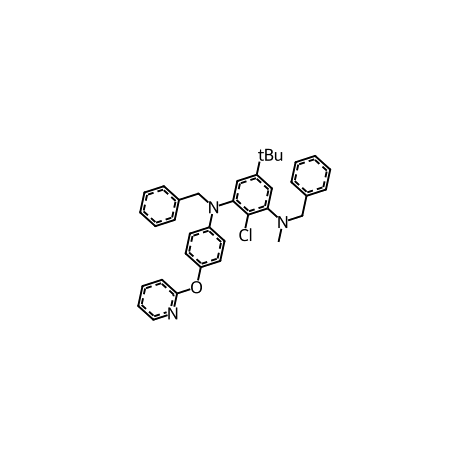 CN(Cc1ccccc1)c1cc(C(C)(C)C)cc(N(Cc2ccccc2)c2ccc(Oc3ccccn3)cc2)c1Cl